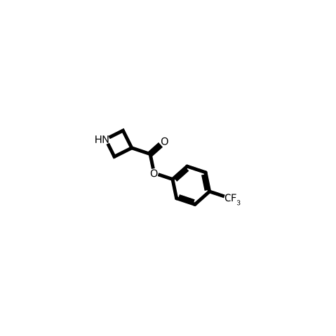 O=C(Oc1ccc(C(F)(F)F)cc1)C1CNC1